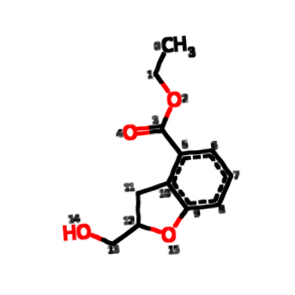 CCOC(=O)c1cccc2c1CC(CO)O2